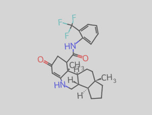 C[C@@]12CCC[C@H]1[C@@H]1CNC3=CC(=O)CC(C(=O)Nc4ccccc4C(F)(F)F)[C@]3(C)[C@H]1CC2